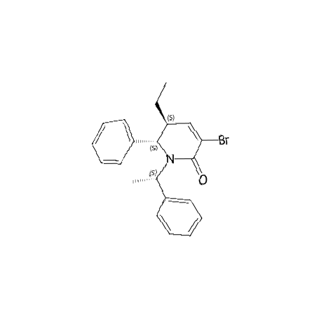 CC[C@H]1C=C(Br)C(=O)N([C@@H](C)c2ccccc2)[C@@H]1c1ccccc1